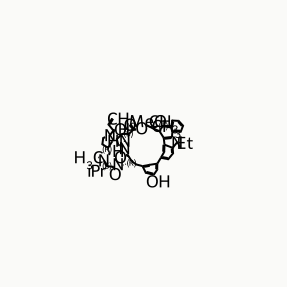 C=CC(=O)N1CC[C@H](CN(C)[C@H](C(=O)NC[C@H]2Cc3cc(O)cc(c3)-c3ccc4c(c3)c3c(n4CC)-c4ccccc4[C@H](OC)C3C(C)(C)COC(=O)[C@@H]3CCCN(N3)C2=O)C(C)C)C1